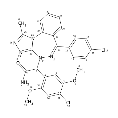 COc1cc(C(C(N)=O)N2N=C(c3ccc(Cl)cc3)c3ccccc3-n3c(C)nnc32)c(OC)cc1Cl